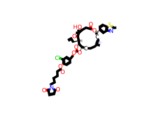 C=CC[C@H]1C(=O)C(C)(C)[C@@H](O)CC(=O)O[C@H](c2ccc3sc(C)nc3c2)C/C=C(/C)CCC[C@H](C)[C@@H]1OC(=O)OCc1ccc(OC(=O)CCCCCN2C(=O)C=CC2=O)c(Cl)c1